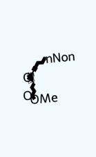 CCCCCCCCCCCCC#C[C@@H]1O[C@H]1CCCC(=O)OC